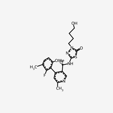 COc1ccc(C)c(F)c1-c1cc(C)ncc1C(=O)Nc1nn(CCCCO)c(=O)s1